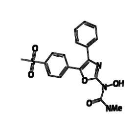 CNC(=O)N(O)c1nc(-c2ccccc2)c(-c2ccc(S(C)(=O)=O)cc2)o1